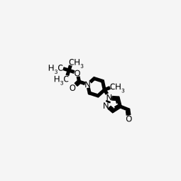 CC(C)(C)OC(=O)N1CCC(C)(n2cc(C=O)cn2)CC1